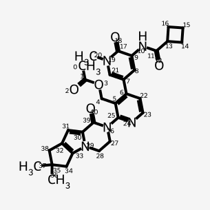 CC(=O)OCc1c(-c2cc(NC(=O)C3CCC3)c(=O)n(C)c2)ccnc1N1CCn2c(cc3c2CC(C)(C)C3)C1=O